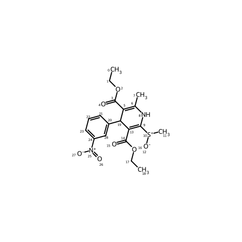 CCOC(=O)C1=C(C)NC([S+](C)[O-])=C(C(=O)OCC)C1c1cccc([N+](=O)[O-])c1